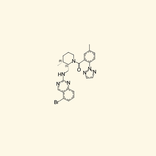 Cc1ccc(-n2nccn2)c(C(=O)N2CCC[C@@H](C)[C@H]2CNc2ncc3c(Br)cccc3n2)c1